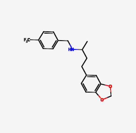 CC(CCc1ccc2c(c1)OCO2)NCc1ccc(C(F)(F)F)cc1